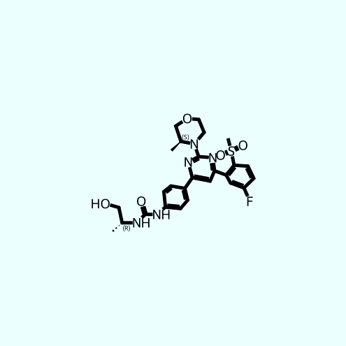 C[C@H](CO)NC(=O)Nc1ccc(-c2cc(-c3cc(F)ccc3S(C)(=O)=O)nc(N3CCOC[C@@H]3C)n2)cc1